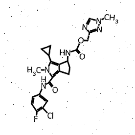 Cn1cnc(COC(=O)NC2CCc3c2c(C2CC2)n(C)c3C(=O)Nc2ccc(F)c(Cl)c2)n1